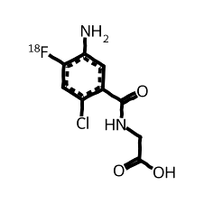 Nc1cc(C(=O)NCC(=O)O)c(Cl)cc1[18F]